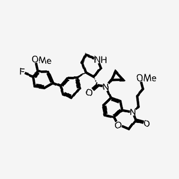 COCCCN1C(=O)COc2ccc(N(C(=O)[C@H]3CNCC[C@@H]3c3cccc(-c4ccc(F)c(OC)c4)c3)C3CC3)cc21